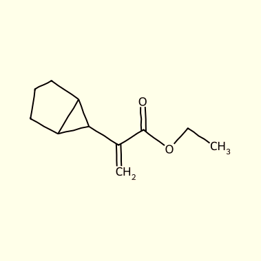 C=C(C(=O)OCC)C1C2CCCC21